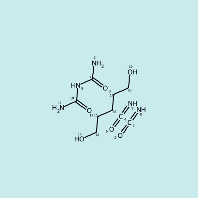 N=C=O.N=C=O.NC(=O)NC(N)=O.OCCCCCO